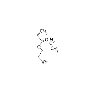 C=C.C=CC(=O)OCCC(C)C